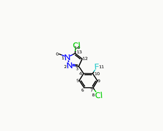 Cn1nc(-c2ccc(Cl)cc2F)cc1Cl